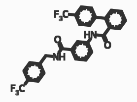 O=C(NCc1ccc(C(F)(F)F)cc1)c1cccc(NC(=O)c2ccccc2-c2ccc(C(F)(F)F)cc2)c1